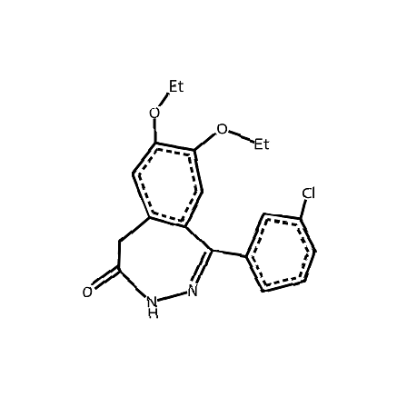 CCOc1cc2c(cc1OCC)C(c1cccc(Cl)c1)=NNC(=O)C2